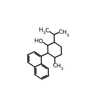 CC(C)C1CCC(C)C(c2cccc3ccccc23)C1O